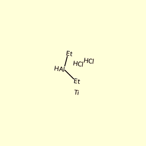 C[CH2][AlH][CH2]C.Cl.Cl.[Ti]